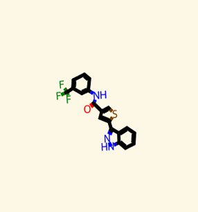 O=C(Nc1cccc(C(F)(F)F)c1)c1csc(-c2n[nH]c3ccccc23)c1